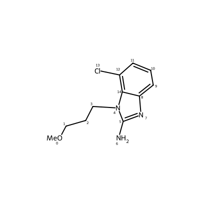 COCCCn1c(N)nc2cccc(Cl)c21